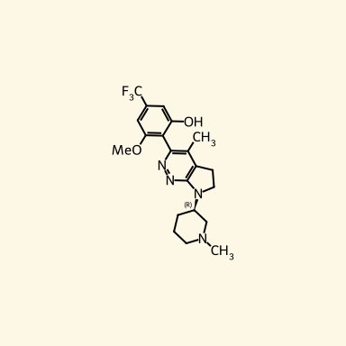 COc1cc(C(F)(F)F)cc(O)c1-c1nnc2c(c1C)CCN2[C@@H]1CCCN(C)C1